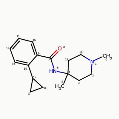 CN1CCC(C)(NC(=O)c2ccccc2C2CC2)CC1